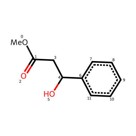 COC(=O)CC(O)c1ccccc1